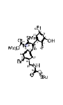 CCc1cc(O)c(F)c(C(=Nc2ccc(Br)c(CNC(=O)OC(C)(C)C)c2)/C(=N/C(=O)OC)SC)c1